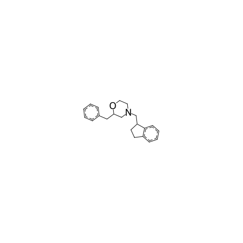 c1ccc(CC2CN(CC3CCc4ccccc43)CCO2)cc1